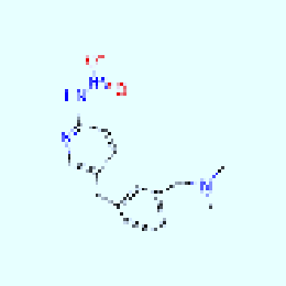 CN(C)Cc1cccc(Cc2ccc(N[N+](=O)[O-])nc2)c1